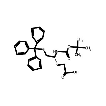 CC(C)(C)OC(=O)N[C@H](CCC(=O)O)CSC(c1ccccc1)(c1ccccc1)c1ccccc1